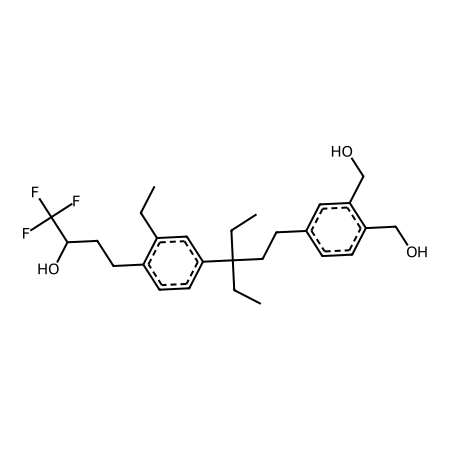 CCc1cc(C(CC)(CC)CCc2ccc(CO)c(CO)c2)ccc1CCC(O)C(F)(F)F